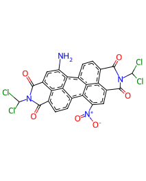 Nc1cc2c3c(ccc4c5c([N+](=O)[O-])cc6c7c(ccc(c1c34)c75)C(=O)N(C(Cl)Cl)C6=O)C(=O)N(C(Cl)Cl)C2=O